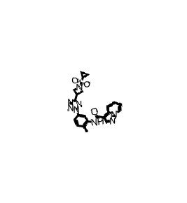 Cc1ccc(-n2nnc(C3CN(S(=O)(=O)C4CC4)C3)n2)cc1NC(=O)c1cnn2ccccc12